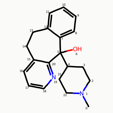 CN1CCC(C2(O)c3ccccc3CCc3cccnc32)CC1